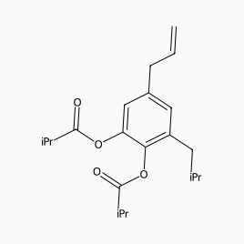 C=CCc1cc(CC(C)C)c(OC(=O)C(C)C)c(OC(=O)C(C)C)c1